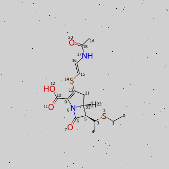 CCSC(C)[C@H]1C(=O)N2C(C(=O)O)=C(SC=CNC(C)=O)C[C@H]12